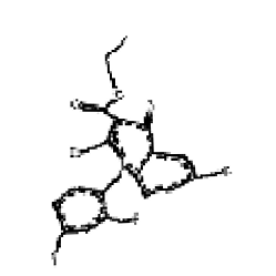 CCOC(=O)c1c(Cl)n(-c2ccc(F)cc2F)c2ccc(F)cc2c1=O